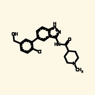 CN1CCC(C(=O)Nc2n[nH]c3ccc(-c4cc(CO)ccc4Cl)cc23)CC1